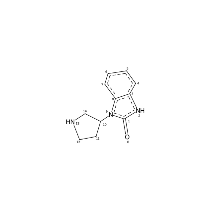 O=c1[nH]c2ccccc2n1C1CCNC1